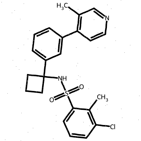 Cc1cnccc1-c1cccc(C2(NS(=O)(=O)c3cccc(Cl)c3C)CCC2)c1